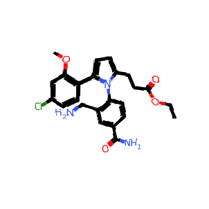 CCOC(=O)CCc1ccc(-c2ccc(Cl)cc2OC)n1-c1ccc(C(N)=O)cc1CN